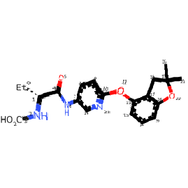 CC[C@@H](NC(=O)O)C(=O)Nc1ccc(Oc2cccc3c2CC(C)(C)O3)nc1